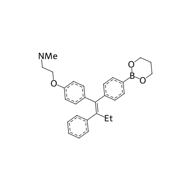 CCC(=C(c1ccc(OCCNC)cc1)c1ccc(B2OCCCO2)cc1)c1ccccc1